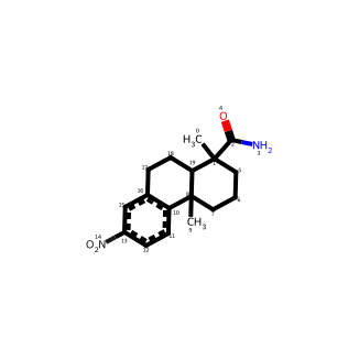 CC1(C(N)=O)CCCC2(C)c3ccc([N+](=O)[O-])cc3CCC12